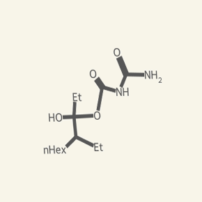 CCCCCCC(CC)C(O)(CC)OC(=O)NC(N)=O